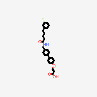 O=C(O)/C=C/Oc1ccc(-c2ccc(CNC(=O)CCCCc3cccc(F)c3)cc2)cc1